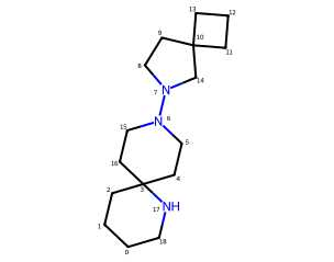 C1CCC2(CCN(N3CCC4(CCC4)C3)CC2)NC1